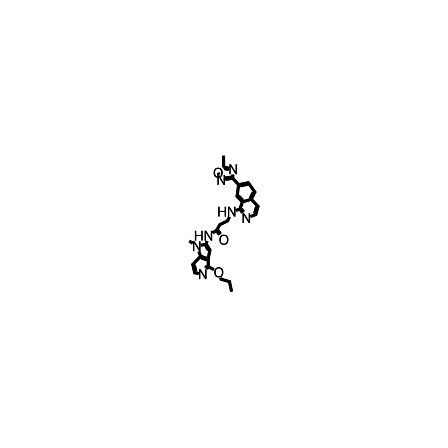 CCCOc1nccc2c1cc(NC(=O)CCNc1nccc3ccc(-c4noc(C)n4)cc13)n2C